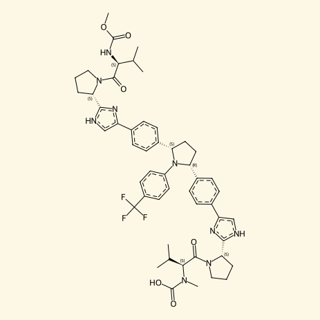 COC(=O)N[C@H](C(=O)N1CCC[C@H]1c1nc(-c2ccc([C@@H]3CC[C@H](c4ccc(-c5c[nH]c([C@@H]6CCCN6C(=O)[C@H](C(C)C)N(C)C(=O)O)n5)cc4)N3c3ccc(C(F)(F)F)cc3)cc2)c[nH]1)C(C)C